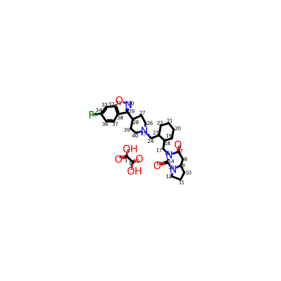 O=C(O)C(=O)O.O=C1CC2CCCN2C(=O)N1CC1CCCCC1CN1CCC(c2noc3cc(F)ccc23)CC1